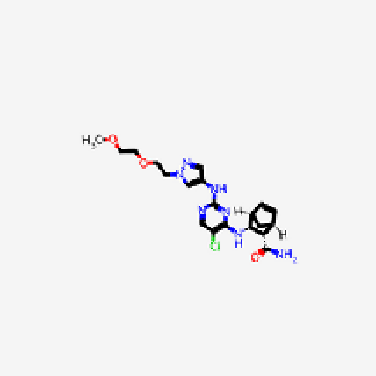 COCCOCCn1cc(Nc2ncc(Cl)c(N[C@H]3[C@@H](C(N)=O)[C@@H]4C=C[C@H]3C4)n2)cn1